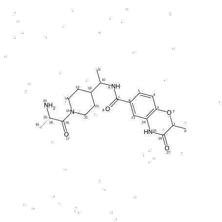 CC1Oc2ccc(C(=O)NC(C)C3CCN(C(=O)[C@H](C)N)CC3)cc2NC1=O